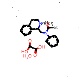 CCCCCCN1CCc2ccccc2C1CN(C(=O)CC)c1ccccc1.O.O=C(O)C(=O)O